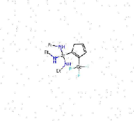 CC[NH][Zr]([NH]CC)([NH]CC)[C]1=[C]([Ge]([F])([F])[F])C=CC1